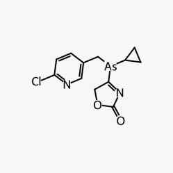 O=C1N=C([As](Cc2ccc(Cl)nc2)C2CC2)CO1